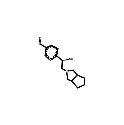 N[C@@H](CN1CC2CCCC2C1)c1ccc(N=O)cn1